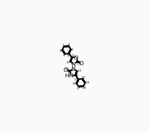 O=C1[N]C(c2ccccc2)=CN1n1cc(-c2ccccc2)[nH]c1=O